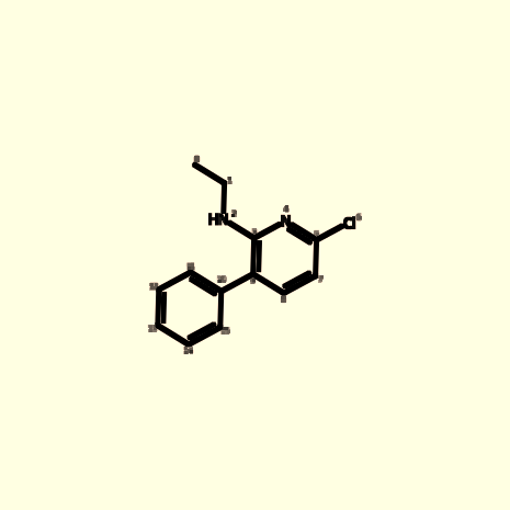 CCNc1nc(Cl)ccc1-c1ccccc1